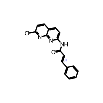 O=C(/C=C/c1ccccc1)Nc1ccc2ccc(Cl)nc2n1